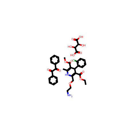 CCOC(=O)C1=C(COCCN)NC(C)=C(C(=O)OC)C1c1ccccc1Cl.O=C(C(=O)c1ccccc1)c1ccccc1.O=C(O)C(O)C(O)C(=O)O